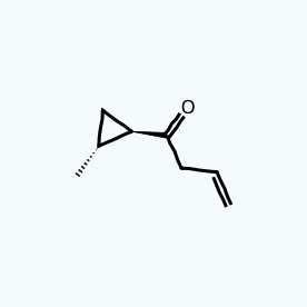 C=CCC(=O)[C@@H]1C[C@H]1C